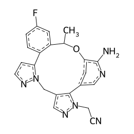 CC1Oc2cc(cnc2N)-c2c(cnn2CC#N)Cn2nccc2-c2ccc(F)cc21